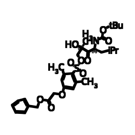 Cc1cc(OCC(=O)OCc2ccccc2)cc(C)c1S(=O)(=O)OC[C@@](C)(O)C(=O)[C@H](CC(C)C)NC(=O)OC(C)(C)C